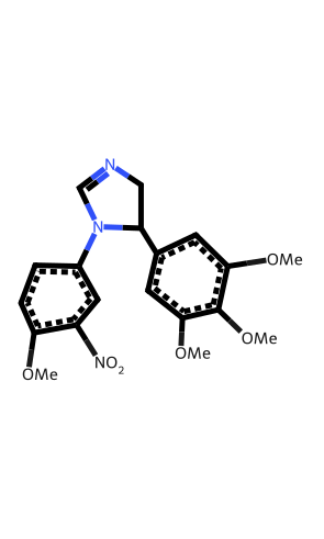 COc1ccc(N2C=NCC2c2cc(OC)c(OC)c(OC)c2)cc1[N+](=O)[O-]